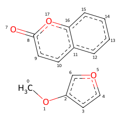 COc1ccoc1.O=c1ccc2ccccc2o1